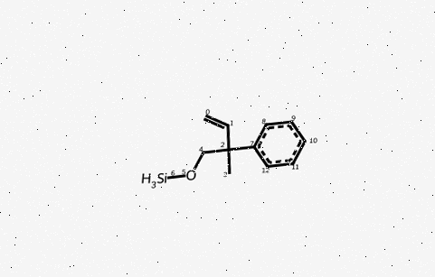 C=CC(C)(CO[SiH3])c1ccccc1